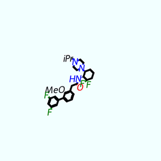 COc1c(CC(=O)N[C@@H]2[C@@H](N3CCN(C(C)C)CC3)CCCC2(F)F)cccc1-c1cc(F)cc(F)c1